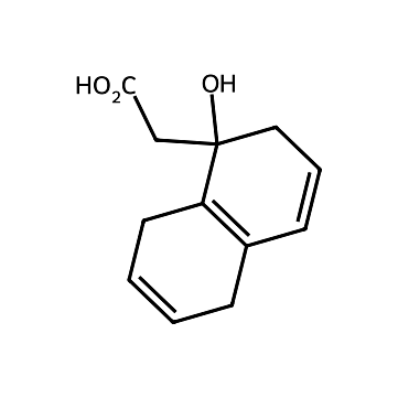 O=C(O)CC1(O)CC=CC2=C1CC=CC2